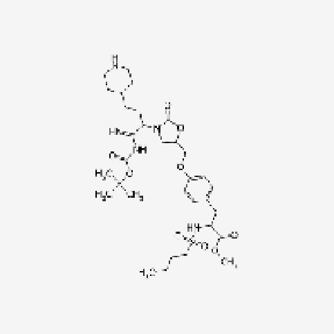 CCCCS(=O)(=O)NC(Cc1ccc(OCC2CN(C(CCC3CCNCC3)C(=N)NC(=O)OC(C)(C)C)C(=O)O2)cc1)C(=O)OC